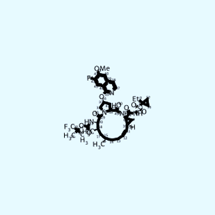 CCC1(S(=O)(=O)NC(=O)C23C[C@H]2/C=C\CC[C@H](C)C[C@@H](C)[C@H](NC(=O)OC(C)(C)C(F)(F)F)C(=O)N2C[C@H](Oc4nccc5cc(OC)c(F)cc45)C[C@H]2C(=O)N3)CC1